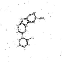 Nc1cc2c(cn1)[nH]c1ncc(-c3ccncc3F)cc12